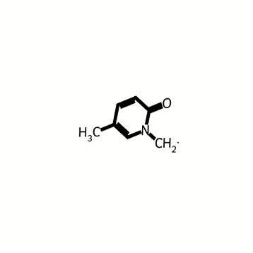 [CH2]n1cc(C)ccc1=O